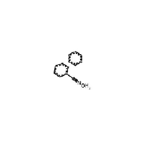 N#Cc1ccccc1.O.c1ccccc1